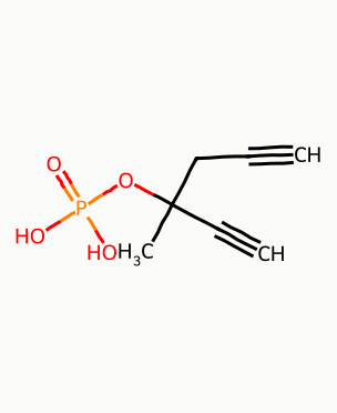 C#CCC(C)(C#C)OP(=O)(O)O